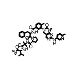 Cc1ccc(Nc2ncc3c(n2)N(C)C(=O)N(c2cc(C(=O)NC(Cc4ccccc4)C(=O)N4CCC[C@H]4C(=O)NC(C)(C)C(=O)NC(C(=O)N(C)C)C(C)C)ccc2C)C3)cn1